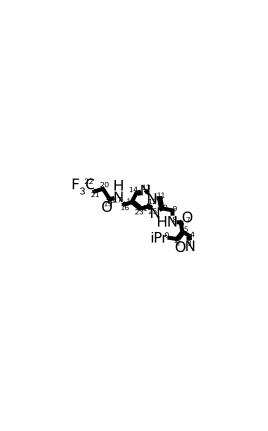 CC(C)c1oncc1C(=O)NCc1cn2ncc(CNC(=O)CCC(F)(F)F)cc2n1